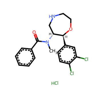 CN(C(=O)c1ccccc1)[C@@H]1CNCCO[C@H]1c1ccc(Cl)c(Cl)c1.Cl